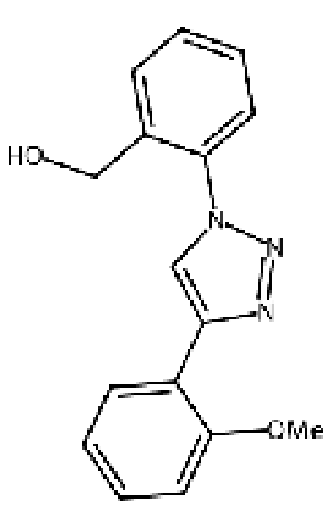 COc1ccccc1-c1cn(-c2ccccc2CO)nn1